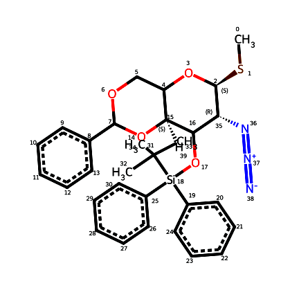 CS[C@@H]1OC2COC(c3ccccc3)O[C@@H]2C(O[Si](c2ccccc2)(c2ccccc2)C(C)(C)C)[C@H]1N=[N+]=[N-]